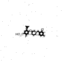 O=C(O)c1cc(C2CC2)c(O[C@@H]2CCCN(Cc3ccc(F)cc3Cl)C2)cc1F